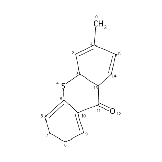 CC1=CC2SC3=CCCC=C3C(=O)C2C=C1